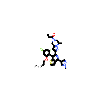 C=CC(=O)N1Cc2cc(-c3nc(-c4cnn(C)c4)c4ccsc4c3-c3c(F)cc(F)cc3OCCOC)nn2C(C)C1